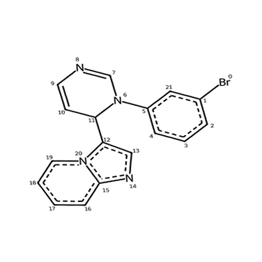 Brc1cccc(N2C=NC=CC2c2cnc3ccccn23)c1